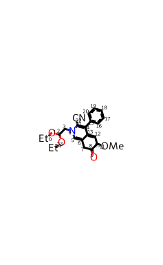 CCOC(CN1C=C2CC(=O)C(OC)C=C2C(c2ccccc2)=C1C#N)OCC